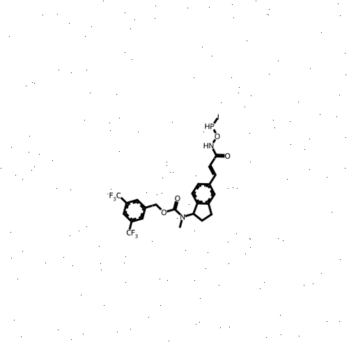 CN(C(=O)OCc1cc(C(F)(F)F)cc(C(F)(F)F)c1)C1CCc2cc(/C=C/C(=O)NOPI)ccc21